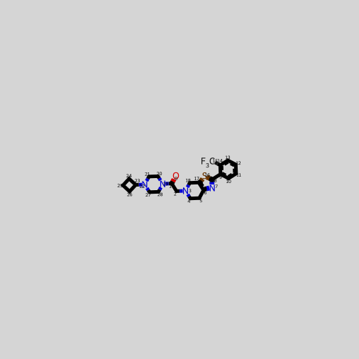 O=C(CN1CCc2nc(-c3ccccc3C(F)(F)F)sc2C1)N1CCN(C2CCC2)CC1